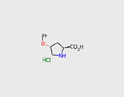 CC(C)O[C@H]1CN[C@H](C(=O)O)C1.Cl